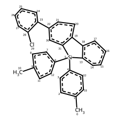 Cc1ccc([Si]2(c3ccc(C)cc3)c3ccccc3-c3ccc(-c4ccccc4Cl)cc32)cc1